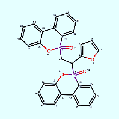 O=P1(CC(c2ccco2)P2(=O)Oc3ccccc3-c3ccccc32)Oc2ccccc2-c2ccccc21